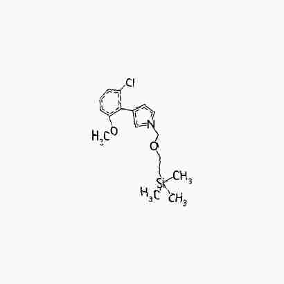 COc1cccc(Cl)c1-c1ccn(COCC[Si](C)(C)C)c1